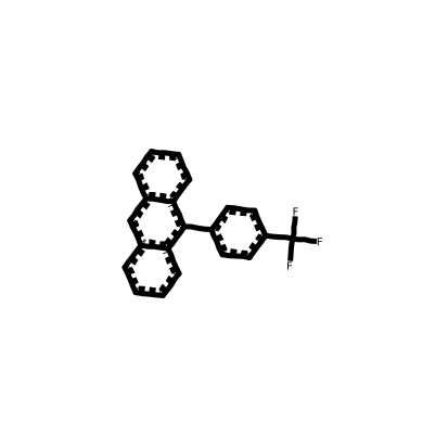 FC(F)(F)c1ccc(-c2c3ccccc3cc3ccccc23)cc1